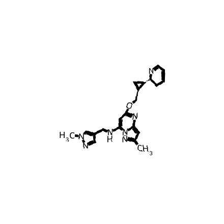 Cc1cc2nc(OC[C@H]3C[C@@H]3C3CC=CC=N3)cc(NCc3cnn(C)c3)n2n1